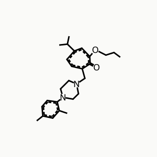 CCCOc1cc(C(C)C)ccc(CN2CCN(c3ccc(C)cc3C)CC2)c1=O